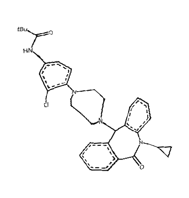 CC(C)(C)C(=O)Nc1ccc(N2CCN(C3c4ccccc4C(=O)N(C4CC4)c4ccccc43)CC2)c(Cl)c1